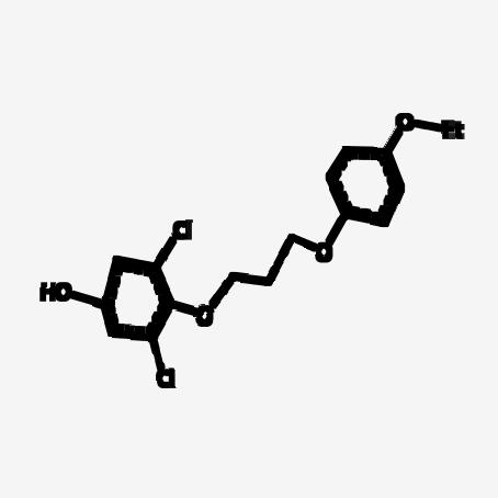 CCOc1ccc(OCCCOc2c(Cl)cc(O)cc2Cl)cc1